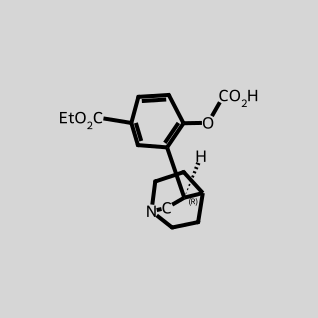 CCOC(=O)c1ccc(OC(=O)O)c([C@@H]2CN3CCC2CC3)c1